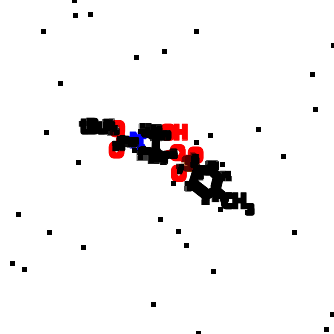 Cc1ccc(S(=O)(=O)OC[C@H]2CN(C(=O)OC(C)(C)C)C[C@@H]2O)cc1